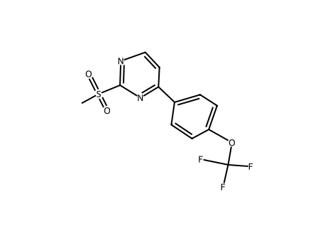 CS(=O)(=O)c1nccc(-c2ccc(OC(F)(F)F)cc2)n1